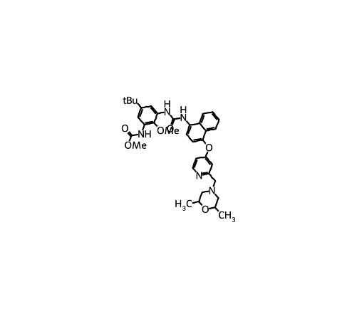 COC(=O)Nc1cc(C(C)(C)C)cc(NC(=O)Nc2ccc(Oc3ccnc(CN4CC(C)OC(C)C4)c3)c3ccccc23)c1OC